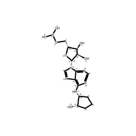 O[C@@H]1[C@H](O)[C@@H](CON(O)O)O[C@H]1n1cnc2c(N[C@@H]3CCC[C@@H]3O)ncnc21